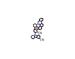 N#CC1=CC=C(n2c3c(c4cc(C#N)ccc42)C=CCC3)C(C#N)C1c1ccccc1C1CCCC[C@@H]1N1Cc2ccccc2-c2ccccc21